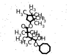 CC(C(C)(C)C(=O)OC1CC(C)C(C)(C)C1(C)C)C(C)(C)C(O)OC1CCCCCCC1